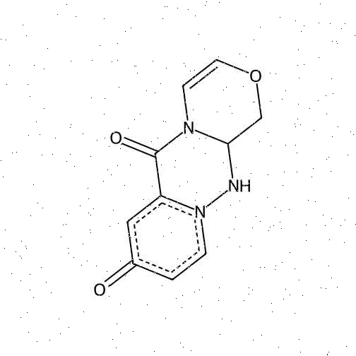 O=C1c2cc(=O)ccn2NC2COC=CN12